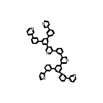 C1=C(c2cc(-c3cccc(-c4cccnc4)c3)cc(-c3cncc(-c4cccc(-c5cncc(-c6cc(-c7cccc(-c8cccnc8)c7)cc(-c7cccc(-c8cccnc8)c7)c6)c5)c4)c3)c2)C=C(c2cccnc2)CC1